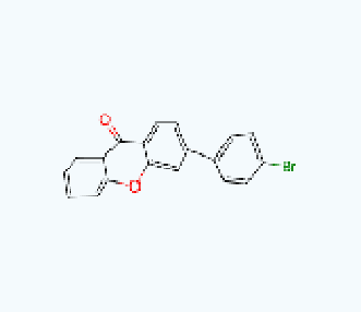 O=c1c2ccccc2oc2cc(-c3ccc(Br)cc3)ccc12